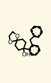 OC1(c2ccccc2Cc2ccccc2)CCC2(CC1)OCCO2